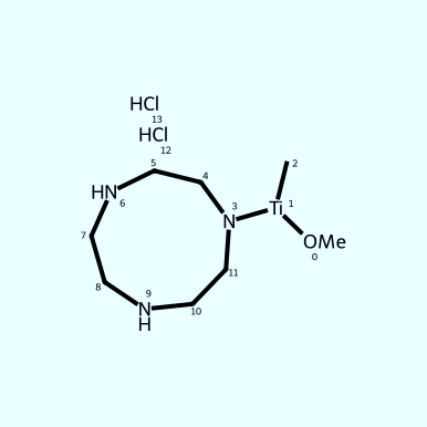 C[O][Ti]([CH3])[N]1CCNCCNCC1.Cl.Cl